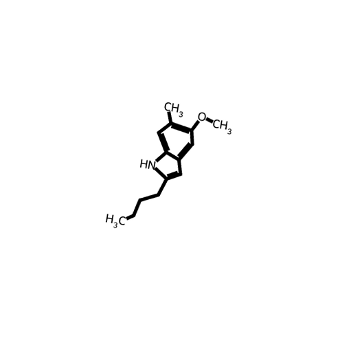 CCCCc1cc2cc(OC)c(C)cc2[nH]1